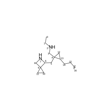 CCNCC1(CC2NCC23CC3)CC1CCF